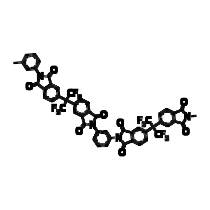 Cc1cccc(N2C(=O)c3ccc(C(c4ccc5c(c4)C(=O)N(c4cccc(N6C(=O)c7ccc(C(c8ccc9c(c8)C(=O)N(C)C9=O)(C(F)(F)F)C(F)(F)F)cc7C6=O)c4)C5=O)(C(F)(F)F)C(F)(F)F)cc3C2=O)c1